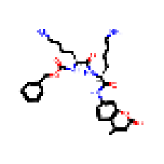 Cc1cc(=O)oc2cc(NC(=O)[C@H](CCCCN)NC(=O)[C@H](CCCCN)NC(=O)OCc3ccccc3)ccc12